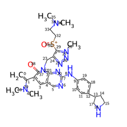 C=C(c1cc2cnc(Nc3ccc(C4CCNC4)cc3)nc2n(Cc2nnn(C)c2[S+]([O-])CCN(C)C)c1=O)N(C)C